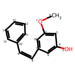 COc1cc(O)cc(/C=C\c2ccccc2)c1